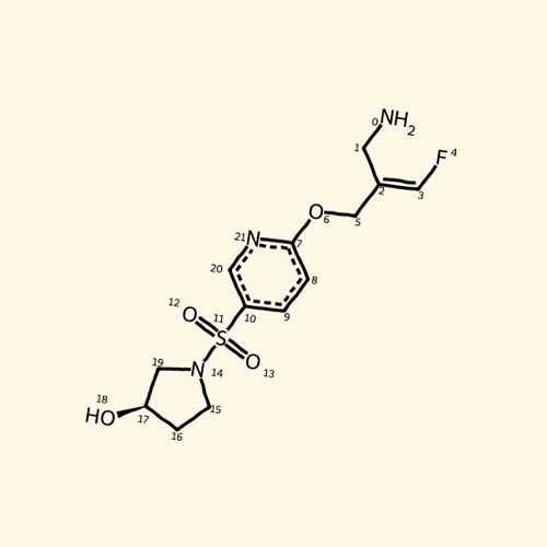 NC/C(=C\F)COc1ccc(S(=O)(=O)N2CC[C@@H](O)C2)cn1